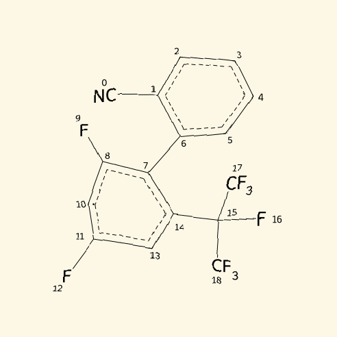 N#Cc1ccccc1-c1c(F)[c]c(F)cc1C(F)(C(F)(F)F)C(F)(F)F